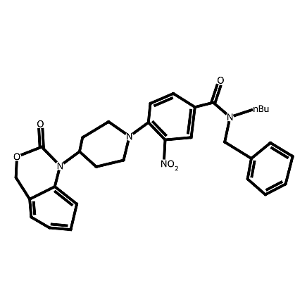 CCCCN(Cc1ccccc1)C(=O)c1ccc(N2CCC(N3C(=O)OCc4ccccc43)CC2)c([N+](=O)[O-])c1